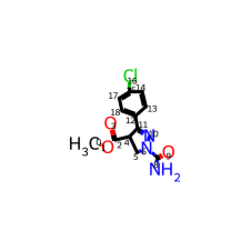 COC(=O)C1CN(C(N)=O)N=C1c1ccc(Cl)cc1